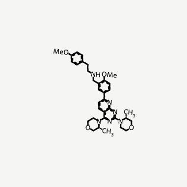 COc1ccc(CCNCc2cc(-c3ccc4c(N5CCOC[C@@H]5C)nc(N5CCOC[C@@H]5C)nc4n3)ccc2OC)cc1